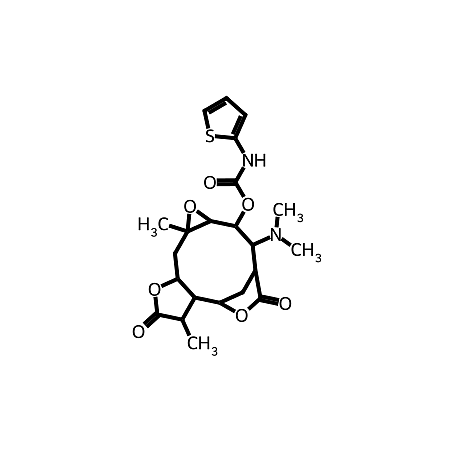 CC1C(=O)OC2CC3(C)OC3C(OC(=O)Nc3cccs3)C(N(C)C)C3CC(OC3=O)C21